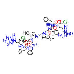 N=C(N)NCCCC(NC(=O)C(Cc1ccccc1)NC(=O)C(Cc1ccccc1)NC(=O)CN(CCN(CCN(CC(=O)O)CC(=O)NC(Cc1ccccc1)C(=O)NC(Cc1ccccc1)C(=O)NC(CCCNC(=N)N)C(=O)CCl)CC(=O)O)CC(=O)O)C(=O)CCl